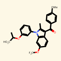 COc1ccc(C(=O)c2c(C)n(-c3cccc(OC(C)C(=O)O)c3)c3cc(OC(F)(F)F)ccc23)cc1